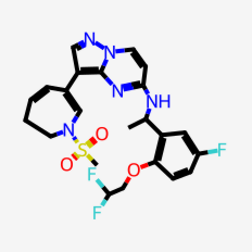 CC(Nc1ccn2ncc(C3=CN(S(C)(=O)=O)CCC=C3)c2n1)c1cc(F)ccc1OCC(F)F